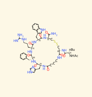 CCCC[C@H](NC(C)=O)C(=O)N[C@H]1CSSC[C@H](C(N)=O)NC(=O)[C@H](Cc2c[nH]c3ccccc23)NC(=O)[C@H](CCCNC(=N)N)NC(=O)[C@@H](Cc2ccccc2)NC(=O)[C@H](Cc2c[nH]cn2)NC(=O)CCCNC1=O